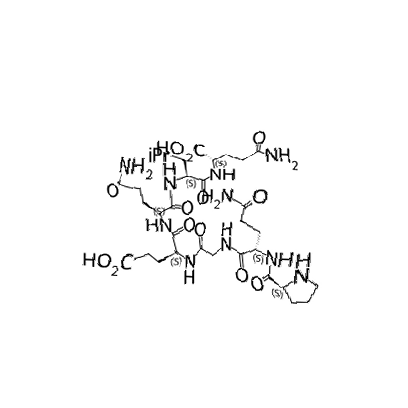 CC(C)C[C@H](NC(=O)[C@H](CCC(N)=O)NC(=O)[C@H](CCC(=O)O)NC(=O)CNC(=O)[C@H](CCC(N)=O)NC(=O)[C@@H]1CCCN1)C(=O)N[C@@H](CCC(N)=O)C(=O)O